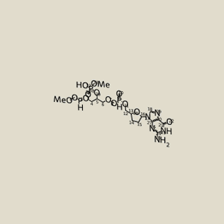 COOPOCC(COO[PH](=O)OCC1CCC(n2cnc3c(=O)[nH]c(N)nc32)O1)OP(=O)(O)OC